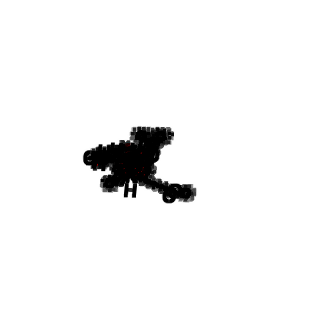 CC[Si](CC)(CC)O[C@@H]1C[C@]2(C)C(=CC[C@@H]3[C@@]4(C)CCC(=O)C(C)(C)[C@@H]4CC[C@]32C)[C@@H]2CC(C)(C)CC[C@]12C(=O)O[C@@H]1O[C@H](COCc2ccccc2)[C@H](NC(=O)CCCCCCCCCCC(=O)OCc2ccccc2)[C@H](OCc2ccccc2)[C@H]1O[C@@H]1O[C@@H](C)[C@H](O[C@@H]2OC[C@@H](OCc3ccccc3)[C@H](OCc3ccccc3)[C@H]2OCc2ccccc2)[C@H]2OC(C)(C)O[C@@H]12